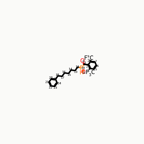 O=C(c1c(C(F)(F)F)cccc1C(F)(F)F)[PH](=O)CCCCCCCc1ccccc1